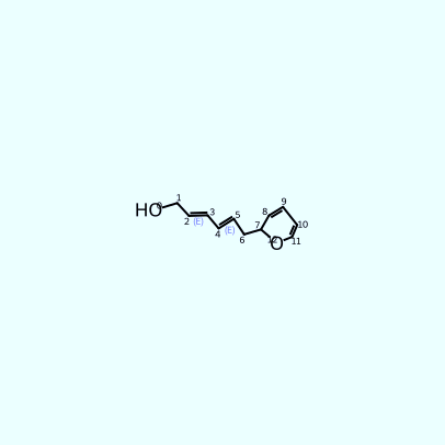 OC/C=C/C=C/CC1C=CC=CO1